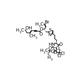 C/C(Br)=C\[C@H](Cc1nc(CCC[C@H](NC(=O)OC(C)(C)C)C(=O)OCC(Cl)(Cl)Cl)cs1)OC(=O)C#C/C=C(\C)C[C@H](C)O